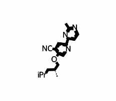 Cc1nccc(-c2cc(C#N)c(OC[C@H](C)CC(C)C)cn2)n1